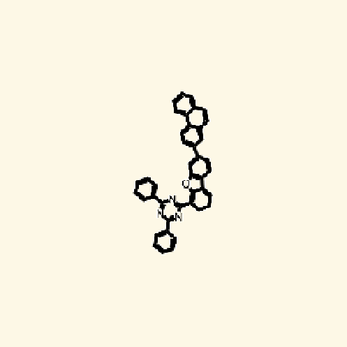 C1=c2c(oc3cc(-c4ccc5c(ccc6ccccc65)c4)ccc23)=C(c2nc(-c3ccccc3)nc(-c3ccccc3)n2)CC1